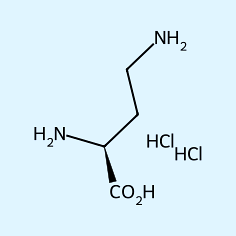 Cl.Cl.NCC[C@H](N)C(=O)O